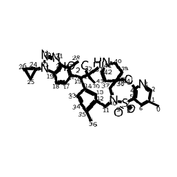 Cc1cnc2c(c1)S(=O)(=O)N(Cc1cc(C(c3ccc4c(nnn4C4CC4)c3C)C(C)(C)C(=O)O)ccc1C)CC1(CCNCC1)O2